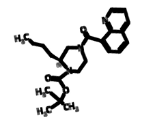 CCCC[C@H]1CN(C(=O)c2cccc3cccnc23)CCN1C(=O)OC(C)(C)C